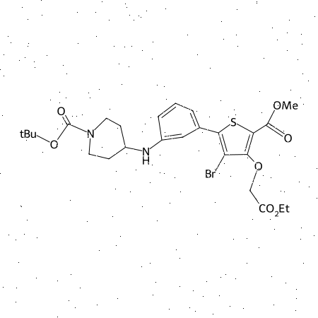 CCOC(=O)COc1c(C(=O)OC)sc(-c2cccc(NC3CCN(C(=O)OC(C)(C)C)CC3)c2)c1Br